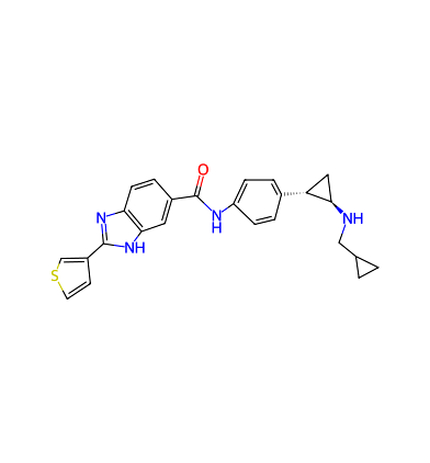 O=C(Nc1ccc([C@@H]2C[C@H]2NCC2CC2)cc1)c1ccc2nc(-c3ccsc3)[nH]c2c1